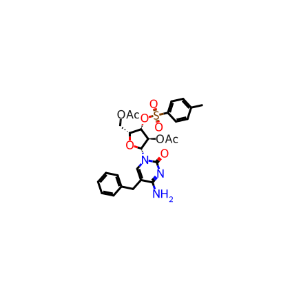 CC(=O)OC[C@H]1O[C@@H](n2cc(Cc3ccccc3)c(N)nc2=O)[C@H](OC(C)=O)[C@H]1OS(=O)(=O)c1ccc(C)cc1